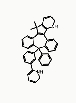 CC1(C)C2=C(NCC=C2)C2=C1c1ccccc1C(c1ccccc1)(c1cccc(C3=CC=CCN3)c1)c1ccccc12